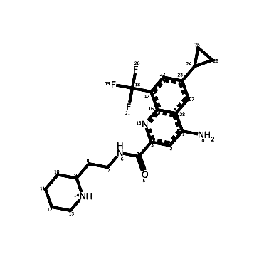 Nc1cc(C(=O)NCCC2CCCCN2)nc2c(C(F)(F)F)cc(C3CC3)cc12